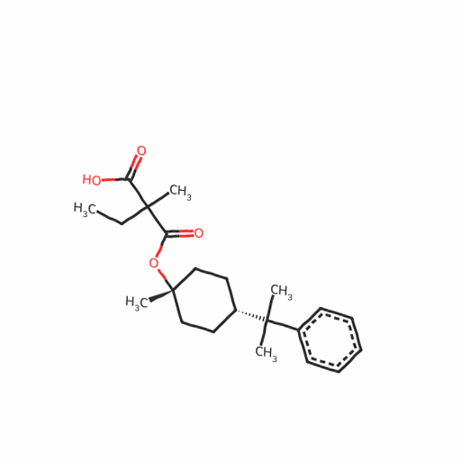 CCC(C)(C(=O)O)C(=O)O[C@]1(C)CC[C@H](C(C)(C)c2ccccc2)CC1